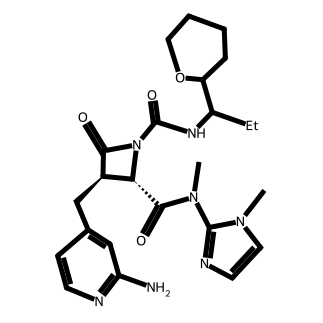 CCC(NC(=O)N1C(=O)[C@H](Cc2ccnc(N)c2)[C@H]1C(=O)N(C)c1nccn1C)C1CCCCO1